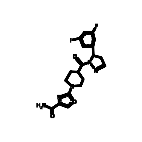 NC(=O)c1coc(N2CCC(C(=O)N3N=CCC3c3cc(F)cc(F)c3)CC2)n1